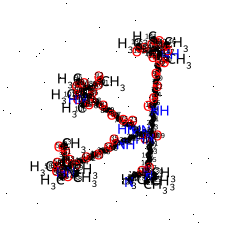 CC(=O)N[C@H]1[C@H](OCCOCCOCCOCC(=O)NCCCC[C@H](NC(=O)[C@H](CCCCNC(=O)COCCOCCOCCO[C@@H]2O[C@H](COC(C)=O)[C@H](OC(C)=O)[C@H](OC(C)=O)[C@H]2NC(C)C)CNC(=O)COCCOCCOCCO[C@@H]2O[C@H](COC(C)=O)[C@H](OC(C)=O)[C@H](OC(C)=O)[C@H]2NC(C)=O)C(=O)NCCCCCCOP(OCCC#N)N(C(C)C)C(C)C)O[C@H](COC(C)=O)[C@H](OC(C)=O)[C@@H]1OC(C)=O